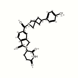 O=C1CCC(N2Cc3cc(C(=O)N4CC5(CC(c6ccc(C(F)(F)F)cc6)C5)C4)ccc3C2=O)C(=O)N1